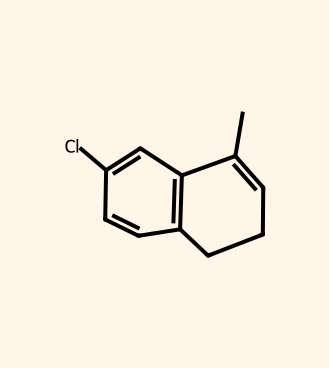 CC1=CCCc2ccc(Cl)cc21